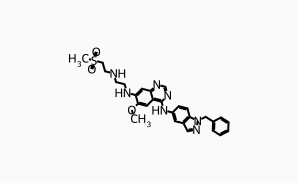 COc1cc2c(Nc3ccc4c(cnn4Cc4ccccc4)c3)ncnc2cc1NCCNCCS(C)(=O)=O